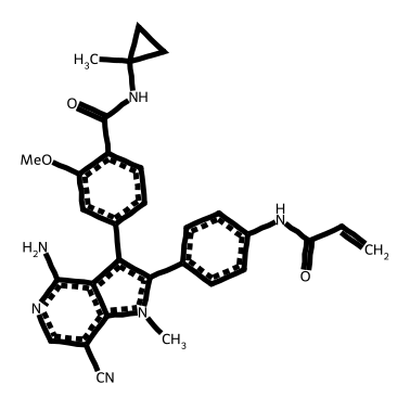 C=CC(=O)Nc1ccc(-c2c(-c3ccc(C(=O)NC4(C)CC4)c(OC)c3)c3c(N)ncc(C#N)c3n2C)cc1